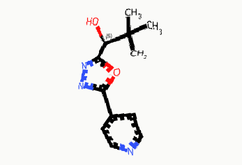 CC(C)(C)[C@H](O)c1nnc(-c2ccncc2)o1